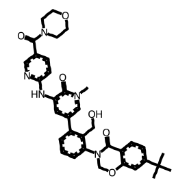 Cn1cc(-c2cccc(N3COc4cc(C(C)(C)C)ccc4C3=O)c2CO)cc(Nc2ccc(C(=O)N3CCOCC3)cn2)c1=O